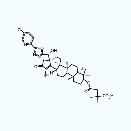 CC(C)C1=C2[C@H]3CCC4[C@@]5(C)CC[C@H](OC(=O)CC(C)(C)C(=O)O)C(C)(C)[C@@H]5CC[C@@]4(C)[C@]3(C)CC[C@@]2([C@@H](O)c2nnc(-c3ccc(Cl)cn3)o2)CC1=O